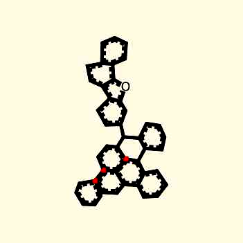 c1ccc(-c2ccc(C(c3ccc4c(c3)oc3c5ccccc5ccc43)c3ccccc3-c3cc4ccccc4c4ccccc34)cc2)cc1